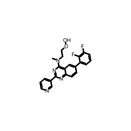 CN(CCOO)c1nc(-c2cccnc2)nc2ccc(-c3cccc(F)c3F)cc12